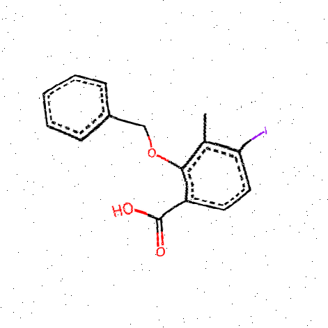 Cc1c(I)ccc(C(=O)O)c1OCc1ccccc1